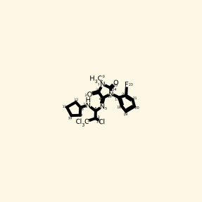 CN1C(=O)C(=NC(NC2CCCC2)C(Cl)C(Cl)(Cl)Cl)N(c2ccccc2F)C1=O